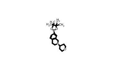 CC1(C)OB(c2ccc3c(c2)CN(C2CCOCC2)CC3)OC1(C)C